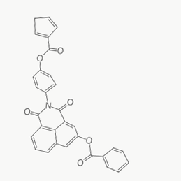 O=C(Oc1ccc(N2C(=O)c3cccc4cc(OC(=O)c5ccccc5)cc(c34)C2=O)cc1)C1=CCC=C1